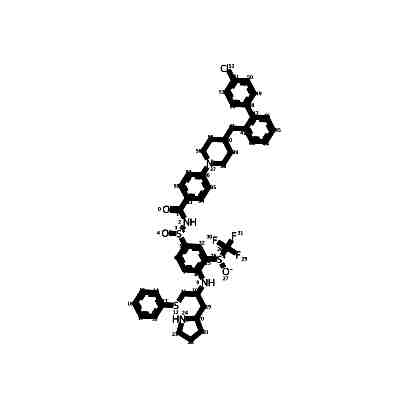 O=C(N[S+]([O-])c1ccc(NC(CSc2ccccc2)CC2CCCN2)c([S+]([O-])C(F)(F)F)c1)c1ccc(N2CCC(Cc3ccccc3-c3ccc(Cl)cc3)CC2)cc1